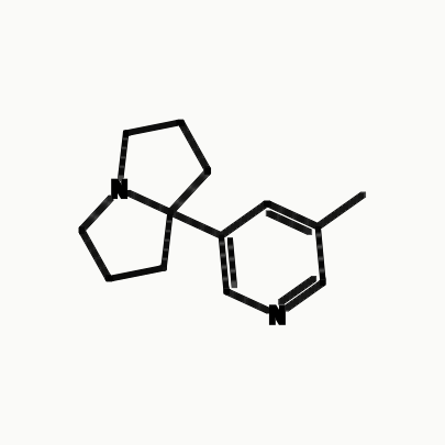 Cc1cncc(C23CCCN2CCC3)c1